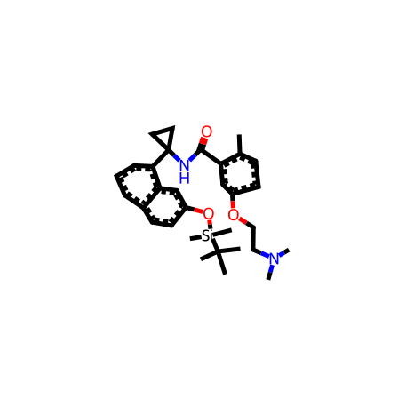 Cc1ccc(OCCN(C)C)cc1C(=O)NC1(c2cccc3ccc(O[Si](C)(C)C(C)(C)C)cc23)CC1